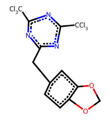 ClC(Cl)(Cl)c1nc(Cc2ccc3c(c2)OCO3)nc(C(Cl)(Cl)Cl)n1